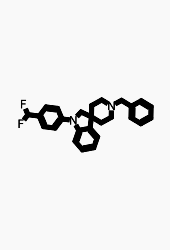 FC(F)c1ccc(N2CC3(CCN(Cc4ccccc4)CC3)c3ccccc32)cc1